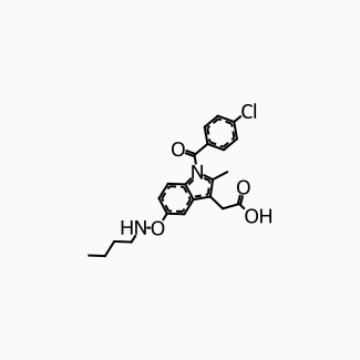 CCCCNOc1ccc2c(c1)c(CC(=O)O)c(C)n2C(=O)c1ccc(Cl)cc1